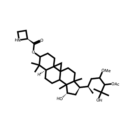 COC(C[C@@H](C)[C@H]1C[C@H](O)C2(C)C3CC[C@H]4C(C)(C)C(OC(=O)[C@@H]5CCN5)CCC45CC35CCC12C)C(OC(C)=O)C(C)(C)O